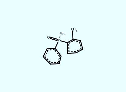 Cc1ccccc1[P@](=O)(c1ccccc1)C(C)(C)C